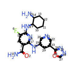 NC(=O)c1cc(F)c(NC2CCCCC2N)nc1Nc1cncc(-c2nnco2)c1